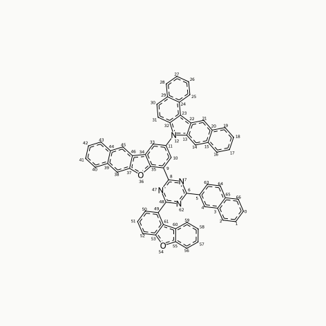 c1ccc2cc(-c3nc(-c4cc(-n5c6cc7ccccc7cc6c6c7ccccc7ccc65)cc5c4oc4cc6ccccc6cc45)nc(-c4cccc5oc6ccccc6c45)n3)ccc2c1